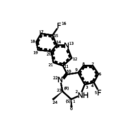 C[C@@H]1Nc2c(F)cccc2C(c2cnc3c(F)cccc3c2)=N[C@@H]1C